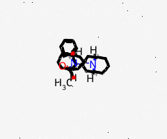 CCC(=O)N(c1ccccc1)[C@H]1C[C@H]2CCC[C@@H](C1)N2[C@H]1C[C@@H]2CCC[C@@H](C2)C1